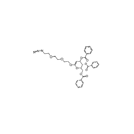 [N-]=[N+]=NCCOCCOCCOC1=CC(OC(=O)c2ccccc2)[C@H](OC(=O)c2ccccc2)C(COC(=O)c2ccccc2)O1